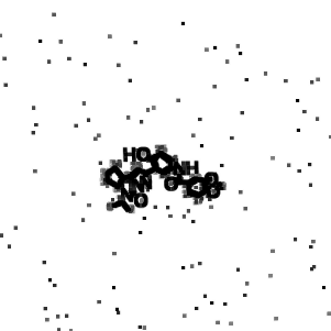 CC(C)NC(=O)n1nc(-c2cc(NC(=O)c3ccc4c(c3)OCO4)ccc2O)cc1C1CCCC1